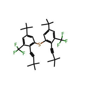 CC(C)(C)C#Cc1c(Sc2cc(C(C)(C)C)cc(C(F)(F)F)c2C#CC(C)(C)C)cc(C(C)(C)C)cc1C(F)(F)F